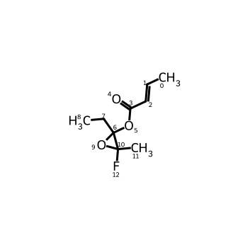 CC=CC(=O)OC1(CC)OC1(C)F